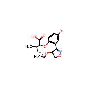 CCOC1CON=C1c1cc(Br)ccc1O[C@H](C(=O)O)C(C)C